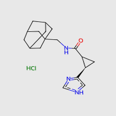 Cl.O=C(NCC12CC3CC(CC(C3)C1)C2)C1C[C@H]1c1c[nH]cn1